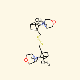 CC1(C)C2CC(N3CCOCC3)C1(CSSCC13CC(CC1N1CCOCC1)C3(C)C)C2